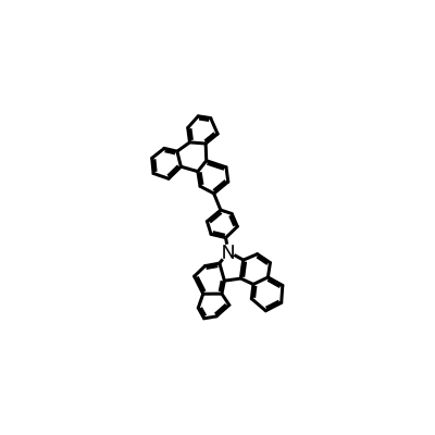 c1ccc2c(c1)ccc1c2c2c3ccccc3ccc2n1-c1ccc(-c2ccc3c4ccccc4c4ccccc4c3c2)cc1